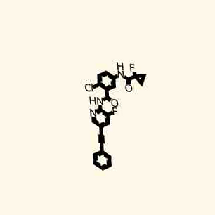 O=C(Nc1ncc(C#Cc2ccccc2)cc1F)c1cc(NC(=O)C2(F)CC2)ccc1Cl